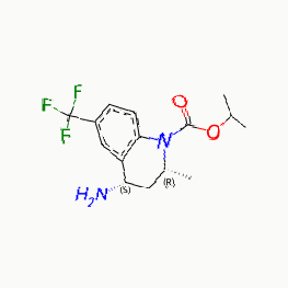 CC(C)OC(=O)N1c2ccc(C(F)(F)F)cc2[C@@H](N)C[C@H]1C